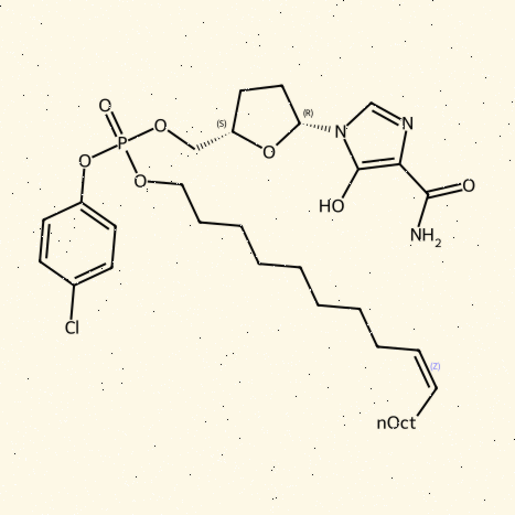 CCCCCCCC/C=C\CCCCCCCCOP(=O)(OC[C@@H]1CC[C@H](n2cnc(C(N)=O)c2O)O1)Oc1ccc(Cl)cc1